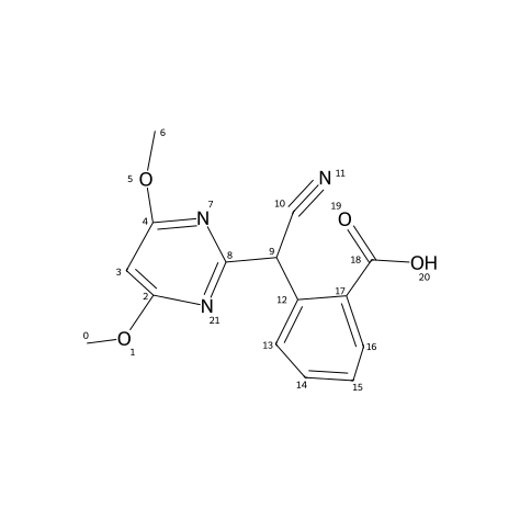 COc1cc(OC)nc(C(C#N)c2ccccc2C(=O)O)n1